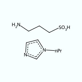 CCCn1ccnc1.NCCCS(=O)(=O)O